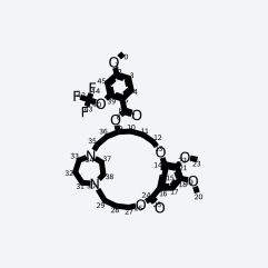 COc1ccc(C(=O)OC2CCCOc3cc(cc(OC)c3OC)C(=O)OCCCN3CCCN(CC2)CC3)c(OC(F)(F)F)c1